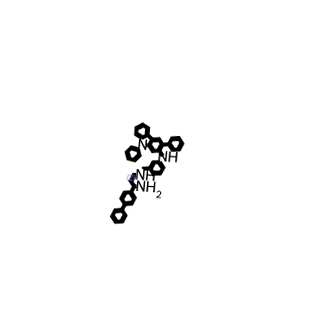 NC(/C=C\NCc1cccc(Nc2cc3c(cc2-c2ccccc2)c2ccccc2n3-c2ccccc2)c1)c1ccc(-c2ccccc2)cc1